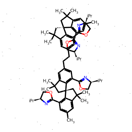 Cc1cc(C2=N[C@@H](C(C)C)CO2)c2c(c1)C(C)(C)C[C@]21CC(C)(C)c2cc(CCc3cc(C4=N[C@@H](C(C)C)CO4)c4c(c3)C(C)(C)C[C@@]43CC(C)(C)c4cc(C)cc(C5=N[C@@H](C(C)C)CO5)c43)cc(C3=N[C@@H](C(C)C)CO3)c21